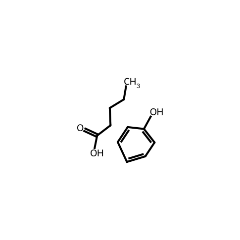 CCCCC(=O)O.Oc1ccccc1